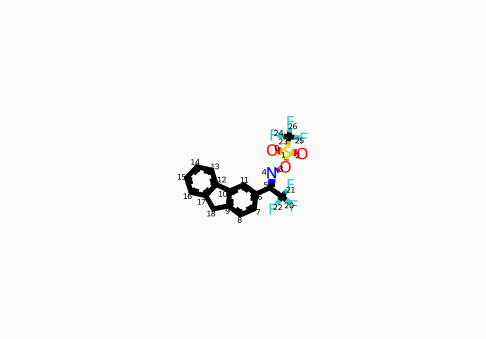 O=S(=O)(ON=C(c1ccc2c(c1)-c1ccccc1C2)C(F)(F)F)C(F)(F)F